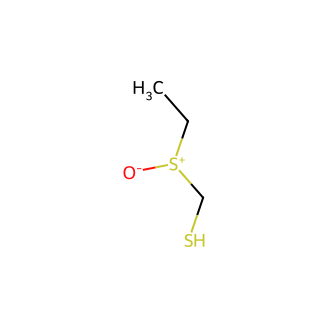 CC[S+]([O-])CS